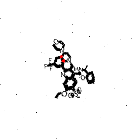 CCOc1cc2nc(-c3cccc(C(F)(F)F)c3)c(CN3CCC(N4CCOCC4)CC3)c(C(=O)N[C@@H](C)c3ccccc3)c2cc1S(C)(=O)=O